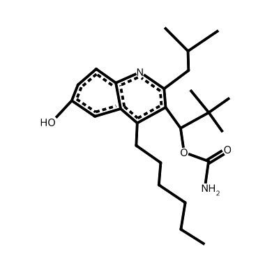 CCCCCCc1c(C(OC(N)=O)C(C)(C)C)c(CC(C)C)nc2ccc(O)cc12